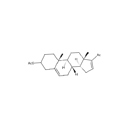 CC(=O)OC1CC[C@@]2(C)C(=CC[C@@H]3[C@@H]2CC[C@]2(C)C(C(C)=O)=CC[C@@H]32)C1